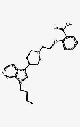 CCCCn1cc(C2CCN(CCOc3ccccc3C(=O)O)CC2)c2ccncc21